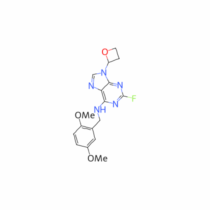 COc1ccc(OC)c(CNc2nc(F)nc3c2ncn3C2CCO2)c1